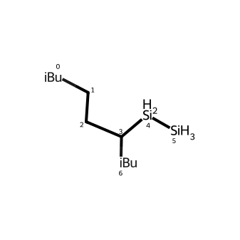 CCC(C)CCC([SiH2][SiH3])C(C)CC